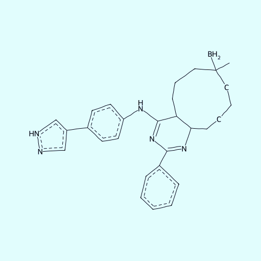 BC1(C)CCCCC2N=C(c3ccccc3)N=C(Nc3ccc(-c4cn[nH]c4)cc3)C2CCC1